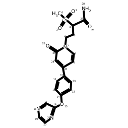 CS(=O)(=O)C(CCn1ccc(-c2ccc(Oc3cnccn3)cc2)cc1=O)C(N)=O